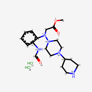 COC(=O)CN(c1ccccc1NC=O)N1CCN(C2CCNCC2)CC1.Cl.Cl